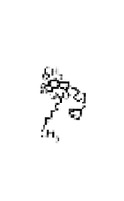 CCCCCCCCCC(=O)OC1=C(CC2CCN(Cc3ccccc3)CC2)Cc2cc(OC)c(OC)cc21